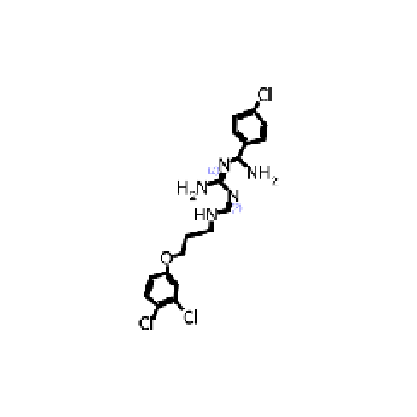 NC(/N=C\NCCCOc1ccc(Cl)c(Cl)c1)=N/C(N)c1ccc(Cl)cc1